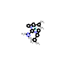 Cc1cc(C)cc(-c2ccc3c4ccccc4n(-c4cc(-c5nc(C)nc(C)n5)cc(-n5c6ccccc6c6ccc(-c7cc(C)cc(C)c7)cc65)c4C(F)(F)F)c3c2)c1